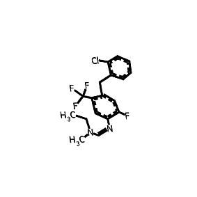 CCN(C)/C=N\c1cc(C(F)(F)F)c(Cc2ccccc2Cl)cc1F